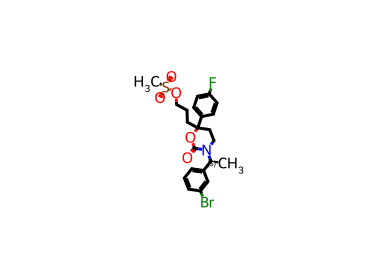 C[C@@H](c1cccc(Br)c1)N1CCC(CCCOS(C)(=O)=O)(c2ccc(F)cc2)OC1=O